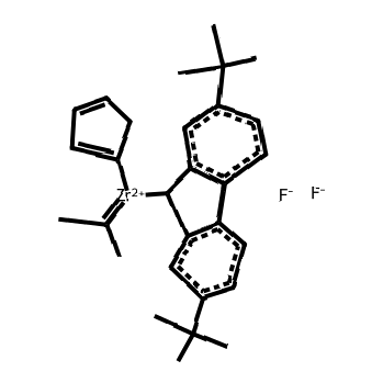 C[C](C)=[Zr+2]([C]1=CC=CC1)[CH]1c2cc(C(C)(C)C)ccc2-c2ccc(C(C)(C)C)cc21.[F-].[F-]